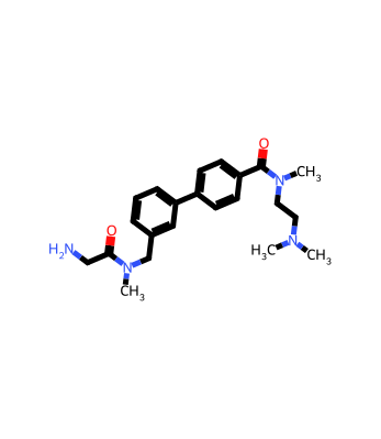 CN(C)CCN(C)C(=O)c1ccc(-c2cccc(CN(C)C(=O)CN)c2)cc1